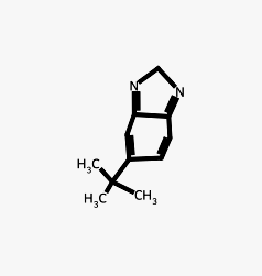 CC(C)(C)c1ccc2c(c1)=NCN=2